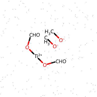 C[O-].C[O-].O=C[O][Ti+2][O]C=O